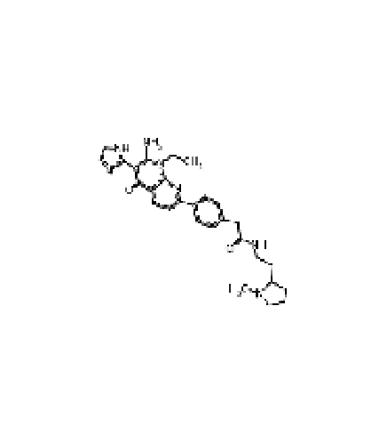 CCn1c(N)c(-c2ncc[nH]2)c(=O)c2ccc(-c3ccc(CC(=O)NCCC4CCCN4C)cc3)nc21